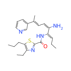 CC/C=C(NC(=O)c1nc(CC)c(CCC)s1)/C(N)=C\C=C(/C)c1cccnc1